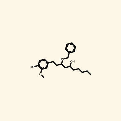 CCCCCC(O)CC(CCc1ccc(O)c(OC)c1)NCc1ccccc1